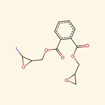 O=C(OCC1CO1)c1ccccc1C(=O)OCC1OC1I